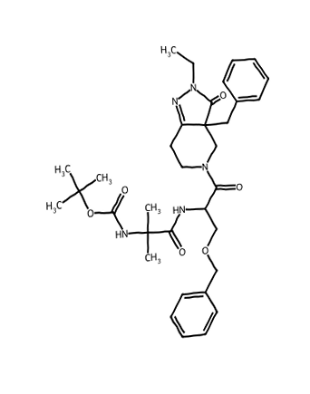 CCN1N=C2CCN(C(=O)C(COCc3ccccc3)NC(=O)C(C)(C)NC(=O)OC(C)(C)C)CC2(Cc2ccccc2)C1=O